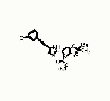 CC(C)(C)OC(=O)N1C[C@H](O[Si](C)(C)C(C)(C)C)C[C@H]1c1ncc(C#Cc2cccc(Cl)c2)[nH]1